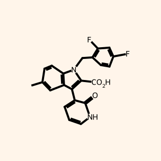 Cc1ccc2c(c1)c(-c1ccc[nH]c1=O)c(C(=O)O)n2Cc1ccc(F)cc1F